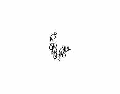 CC(C)C[C@@H]1NCCN([C@@H](CC(C)C)C(=O)N2CC[C@]3(C[C@@H]2C)OC[C@@H](CN2CCC4(CC2)CC4)CO3)C1=O